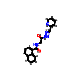 O=C(CNC(=O)c1cccc2ccccc12)N/N=C/c1ccccn1